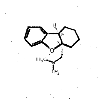 CN(C)C[C@@]12CCCC[C@@H]1c1ccccc1O2